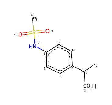 CC(C(=O)O)c1ccc(NS(=O)(=O)C(C)C)cc1